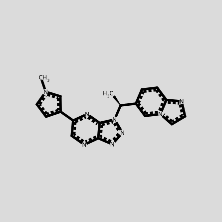 C[C@@H](c1ccc2nccn2c1)n1nnc2ncc(-c3ccn(C)c3)nc21